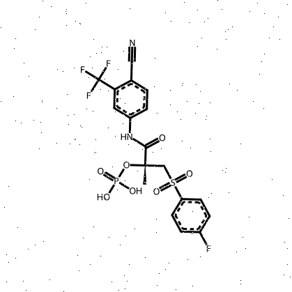 C[C@@](CS(=O)(=O)c1ccc(F)cc1)(OP(=O)(O)O)C(=O)Nc1ccc(C#N)c(C(F)(F)F)c1